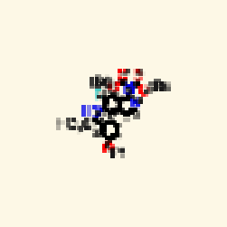 CCOC1=CCCC(C(Nc2cc3ccnc(N(C(=O)OC(C)(C)C)C(=O)OC(C)(C)C)c3cc2F)C(=O)O)=C1